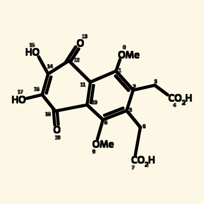 COc1c(CC(=O)O)c(CC(=O)O)c(OC)c2c1C(=O)C(O)=C(O)C2=O